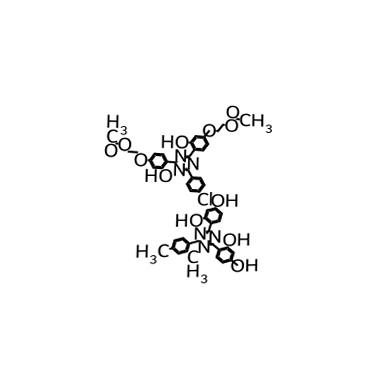 CC(=O)OCCOc1ccc(-c2nc(-c3ccc(Cl)cc3)nc(-c3ccc(OCCOC(C)=O)cc3O)n2)c(O)c1.Cc1ccc(-c2nc(-c3ccc(O)cc3O)nc(-c3ccc(O)cc3O)n2)c(C)c1